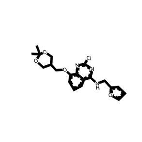 CC1(C)OCC(COc2cccc3c(NCc4ccco4)nc(Cl)nc23)CO1